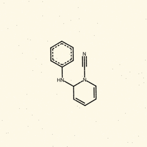 N#CN1C=CC=CC1Nc1ccccc1